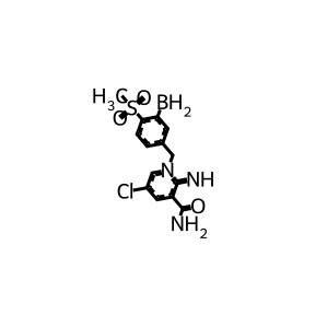 Bc1cc(Cn2cc(Cl)cc(C(N)=O)c2=N)ccc1S(C)(=O)=O